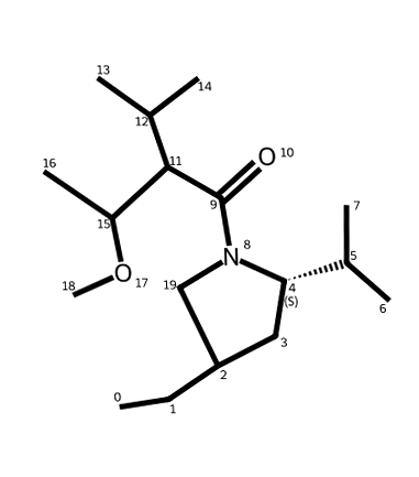 CCC1C[C@@H](C(C)C)N(C(=O)C(C(C)C)C(C)OC)C1